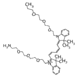 CCCOCCOCCOCCN1/C(=C/C=C\C=C/C2=[N+](CCOCCOCCOCCN)c3ccccc3C2(C)C)C(C)(C)c2ccccc21